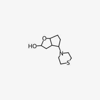 OC1CC2C(CCC2N2CCSCC2)O1